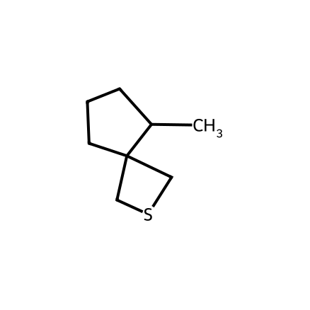 CC1CCCC12CSC2